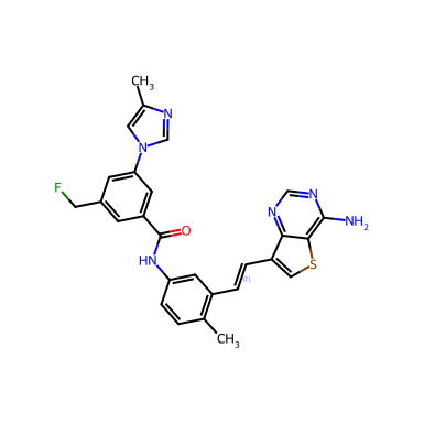 Cc1cn(-c2cc(CF)cc(C(=O)Nc3ccc(C)c(/C=C/c4csc5c(N)ncnc45)c3)c2)cn1